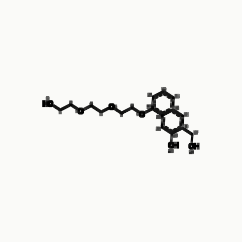 OCCOCCOCCOc1cccc2cc(CO)c(O)cc12